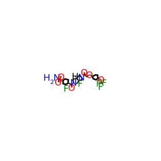 NS(=O)(=O)c1ccc(C(=O)N2C[C@@H]3CN(C(=O)COc4ccc(OC(F)(F)F)cc4)C[C@@]3(F)C2)c(F)c1